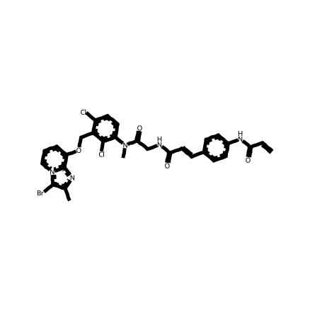 C=CC(=O)Nc1ccc(/C=C/C(=O)NCC(=O)N(C)c2ccc(Cl)c(COc3cccn4c(Br)c(C)nc34)c2Cl)cc1